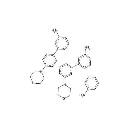 Nc1cccc(-c2ccc(N3CCOCC3)cc2)c1.Nc1cccc(-c2cccc(N3CCOCC3)c2)c1.Nc1ccccc1